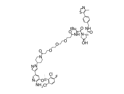 Cc1ncsc1-c1ccc(CNC(=O)[C@@H]2C[C@@H](O)CN2C(=O)[C@@H](NC(=O)CCOCCOCCOCCC(=O)N2CCC(n3cc(-c4cnc(N)c(O[C@H](C)c5c(Cl)ccc(F)c5Cl)c4)cn3)CC2)C(C)(C)C)cc1